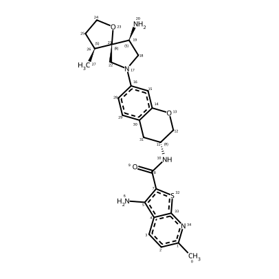 Cc1ccc2c(N)c(C(=O)N[C@H]3COc4cc(N5C[C@H](N)[C@@]6(C5)OCC[C@@H]6C)ccc4C3)sc2n1